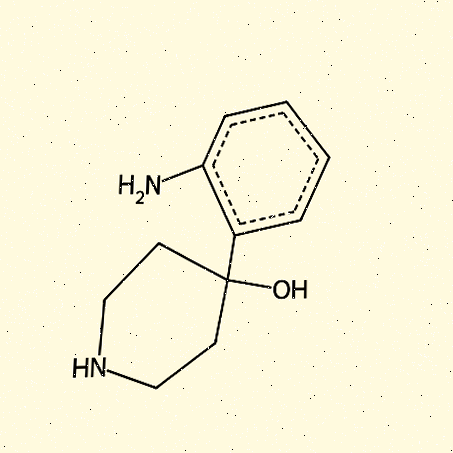 Nc1ccccc1C1(O)CCNCC1